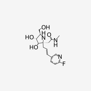 CNC(=O)C[C@@]1(C/C=C/c2ccc(F)nc2)N[C@H](CO)[C@@H](O)[C@@H]1O